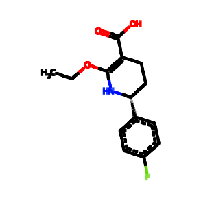 CCOC1=C(C(=O)O)CC[C@H](c2ccc(F)cc2)N1